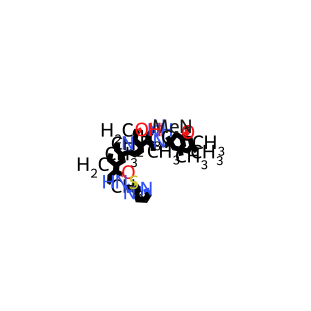 C=C\C(=C/C(C(=C)C)=C(/C=C\C)C(=O)Nc1nc2cccnc2s1)c1ccc(/C(C=N)=C(\C)NCC2(C)CC3(C)CC(C)(C)CC(ONC)(C2)C3)c(C(=C)O)n1